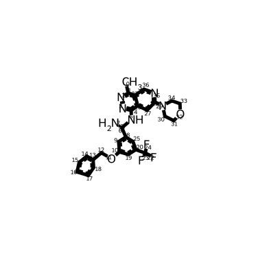 Cc1nnc(N[C@H](N)c2cc(OCc3ccccc3)cc(C(F)(F)F)c2)c2cc(N3CCOCC3)ncc12